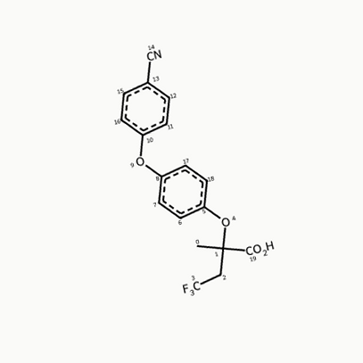 CC(CC(F)(F)F)(Oc1ccc(Oc2ccc(C#N)cc2)cc1)C(=O)O